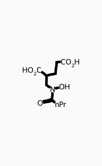 CCCC(=O)N(O)CC(CCC(=O)O)C(=O)O